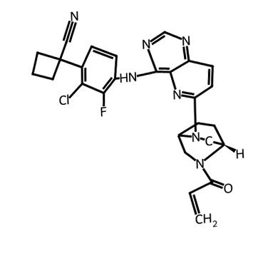 C=CC(=O)N1CC2CC[C@H]1CN2c1ccc2ncnc(Nc3ccc(C4(C#N)CCC4)c(Cl)c3F)c2n1